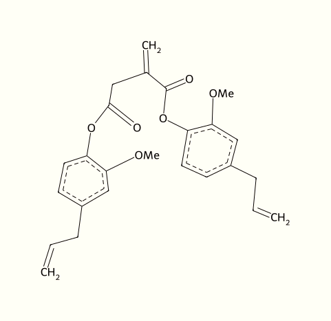 C=CCc1ccc(OC(=O)CC(=C)C(=O)Oc2ccc(CC=C)cc2OC)c(OC)c1